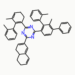 CC1=CCCC(c2nc(C3=CCC4CCC=CC4=C3)nc(-c3ccc(-c4ccccc4)c(C)c3-c3ccccc3C)n2)=C1c1ccccc1C